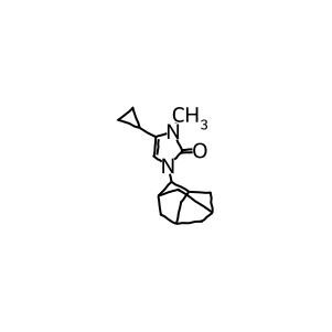 Cn1c(C2CC2)cn(C2C3CC4CC(C3)CC2C4)c1=O